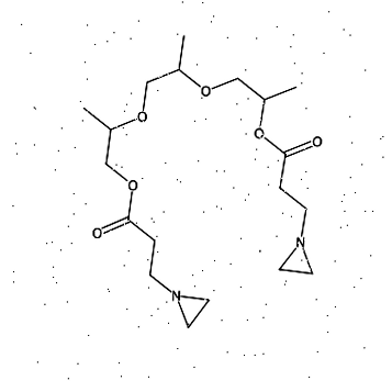 CC(COC(=O)CCN1CC1)OCC(C)OCC(C)OC(=O)CCN1CC1